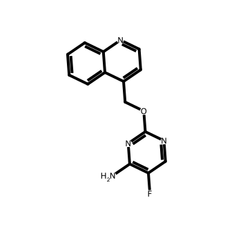 Nc1nc(OCc2ccnc3ccccc23)ncc1F